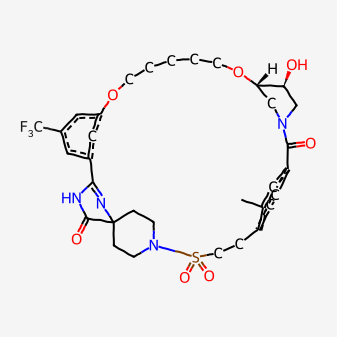 Cc1cc2ccc1CCS(=O)(=O)N1CCC3(CC1)N=C(NC3=O)c1cc(cc(C(F)(F)F)c1)OCCCCCO[C@H]1CN(C[C@@H]1O)C2=O